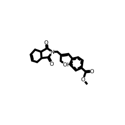 COC(=O)c1ccc(C=C(CO)CN2C(=O)C3CC=CCC3C2=O)cc1